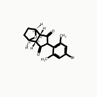 Cc1cc(Br)cc(C)c1C1C(=O)[C@@H]2[C@H](C1=O)[C@H]1CC[C@@H]2O1